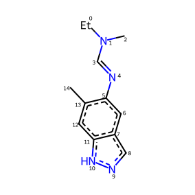 CCN(C)/C=N/c1cc2cn[nH]c2cc1C